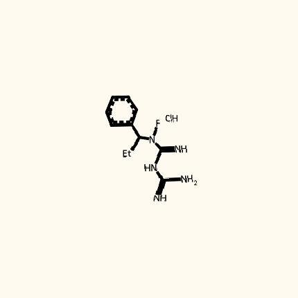 CCC(c1ccccc1)N(F)C(=N)NC(=N)N.Cl